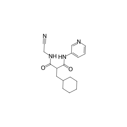 N#CCNC(=O)C(CC1CCCCC1)C(=O)Nc1cccnc1